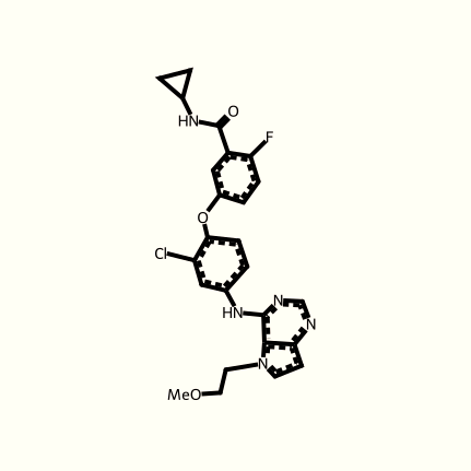 COCCn1ccc2ncnc(Nc3ccc(Oc4ccc(F)c(C(=O)NC5CC5)c4)c(Cl)c3)c21